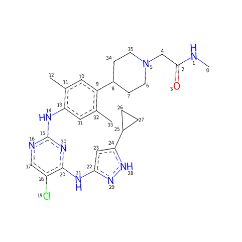 CNC(=O)CN1CCC(c2cc(C)c(Nc3ncc(Cl)c(Nc4cc(C5CC5)[nH]n4)n3)cc2C)CC1